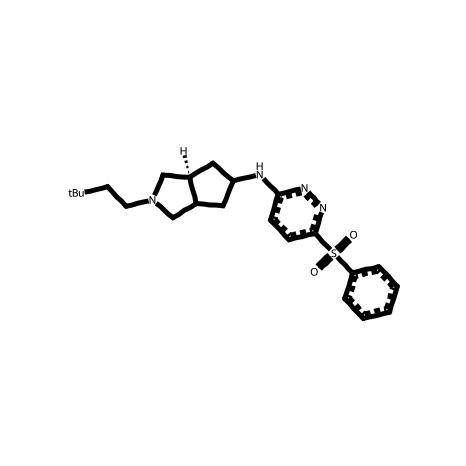 CC(C)(C)CCN1CC2CC(Nc3ccc(S(=O)(=O)c4ccccc4)nn3)C[C@@H]2C1